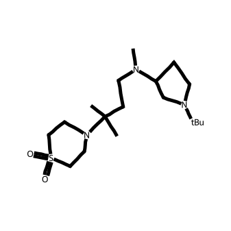 CN(CCC(C)(C)N1CCS(=O)(=O)CC1)C1CCN(C(C)(C)C)C1